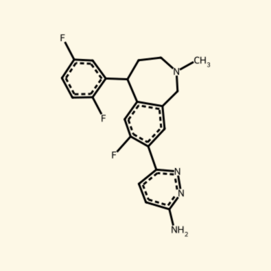 CN1CCC(c2cc(F)ccc2F)c2cc(F)c(-c3ccc(N)nn3)cc2C1